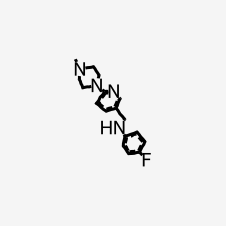 CN1CCN(c2ccc(CNc3ccc(F)cc3)cn2)CC1